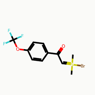 C[S](C)(Br)=CC(=O)c1ccc(OC(F)(F)F)cc1